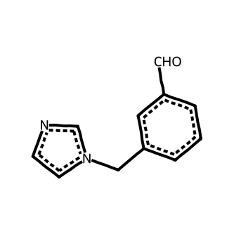 O=Cc1cccc(Cn2ccnc2)c1